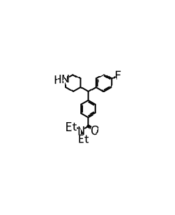 CCN(CC)C(=O)c1ccc(C(c2ccc(F)cc2)C2CCNCC2)cc1